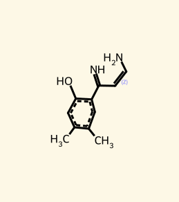 Cc1cc(O)c(C(=N)/C=C\N)cc1C